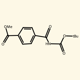 COC(=O)c1ccc(C(=O)NC(=O)OC(C)(C)C)cc1